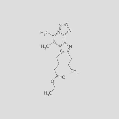 CCCc1nc2c(c(C)c(C)n3nnnc23)n1CCCC(=O)OCC